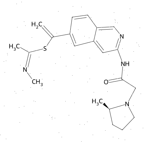 C=C(S/C(C)=N\C)c1ccc2cnc(NC(=O)CN3CCC[C@H]3C)cc2c1